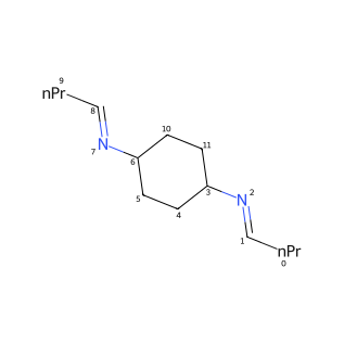 CCCC=NC1CCC(N=CCCC)CC1